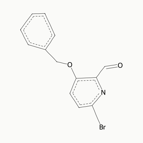 O=Cc1nc(Br)ccc1OCc1ccccc1